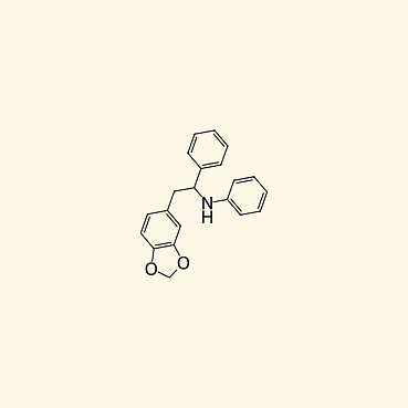 c1ccc(NC(Cc2ccc3c(c2)OCO3)c2ccccc2)cc1